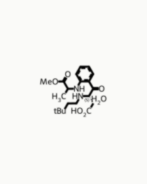 COC(=O)C(C)Nc1ccccc1C(=O)[C@H](CC(=O)O)NCCC(C)(C)C.O